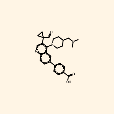 CN(C)CC1CCN(c2c(C3(C=O)CC3)cnc3ccc(-c4ccc(C(=O)O)cc4)cc23)CC1